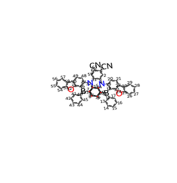 N#Cc1cc(N2c3ccccc3B(c3ccccc3)c3c2ccc2c3oc3ccccc32)c(N2c3ccccc3B(c3ccccc3)c3c2ccc2c3oc3ccccc32)cc1C#N